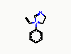 C=C[N+]1(c2ccccc2)C=NCC1